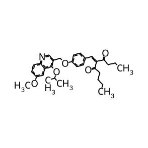 CCCCC(=O)C(=Cc1ccc(OCc2cnc3ccc(OC)cc3c2OC(C)C)cc1)C(=O)CCC